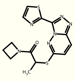 CC(Sc1ccc2nnc(-c3nccs3)n2n1)C(=O)N1CCC1